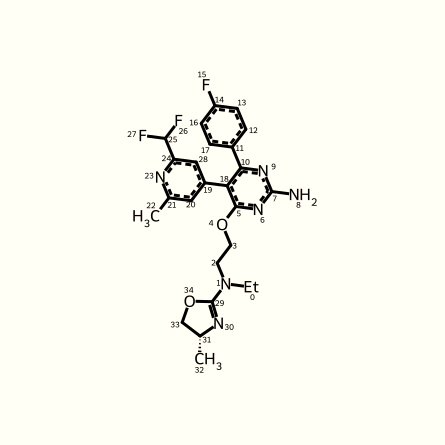 CCN(CCOc1nc(N)nc(-c2ccc(F)cc2)c1-c1cc(C)nc(C(F)F)c1)C1=N[C@H](C)CO1